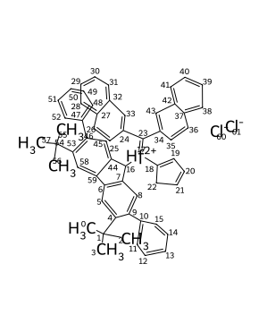 CC(C)(C)c1cc2c(cc1-c1ccccc1)[CH]([Hf+2]([C]1=CC=CC1)=[C](c1ccc3ccccc3c1)c1ccc3ccccc3c1)c1cc(-c3ccccc3)c(C(C)(C)C)cc1-2.[Cl-].[Cl-]